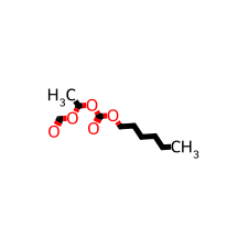 CCCCCCOC(=O)OC(C)OC=O